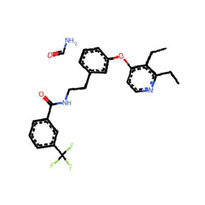 CCc1nccc(Oc2cccc(CCNC(=O)c3cccc(C(F)(F)F)c3)c2)c1CC.NC=O